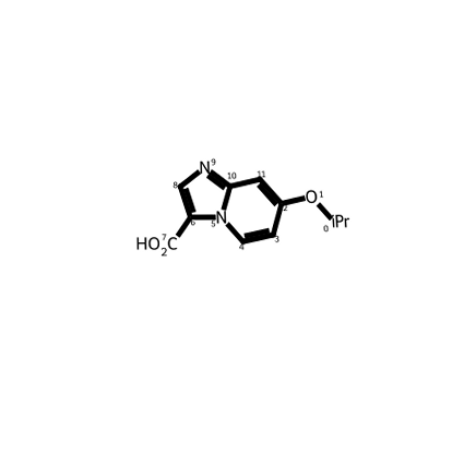 CC(C)Oc1ccn2c(C(=O)O)cnc2c1